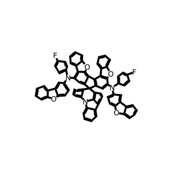 Fc1ccc(N(c2ccc3oc4ccccc4c3c2)c2cc3c(c4c2oc2ccccc24)-c2c(cc(N(c4ccc(F)cc4)c4ccc5oc6ccccc6c5c4)c4c2oc2ccccc24)C32c3ccccc3-n3c4ccccc4c4cccc2c43)cc1